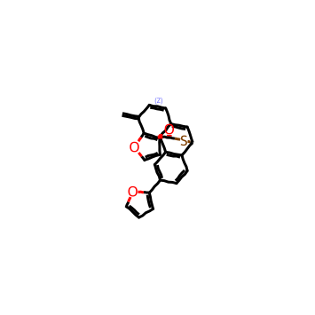 C=C(/C=C\C1=CC2SC(=O)C1c1cc(-c3ccco3)ccc12)c1ccco1